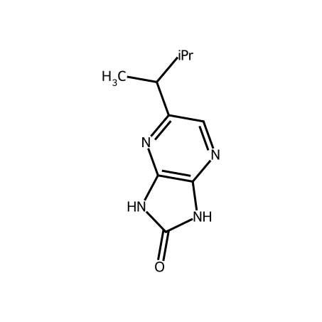 CC(C)C(C)c1cnc2[nH]c(=O)[nH]c2n1